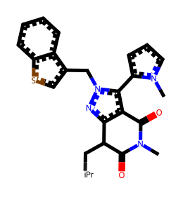 CC(C)CC1C(=O)N(C)C(=O)c2c1nn(Cc1csc3ccccc13)c2-c1cccn1C